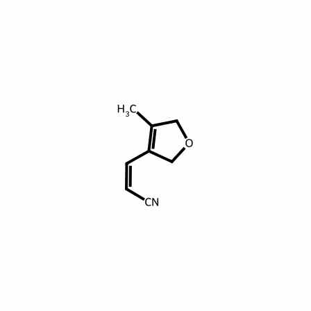 CC1=C(/C=C\C#N)COC1